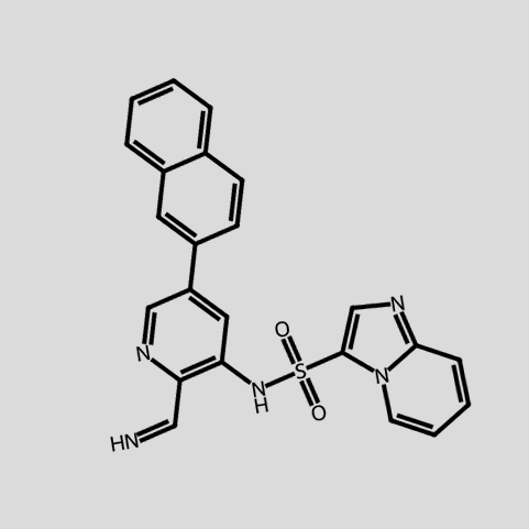 N=Cc1ncc(-c2ccc3ccccc3c2)cc1NS(=O)(=O)c1cnc2ccccn12